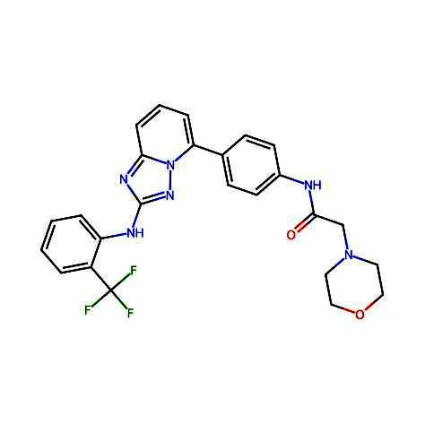 O=C(CN1CCOCC1)Nc1ccc(-c2cccc3nc(Nc4ccccc4C(F)(F)F)nn23)cc1